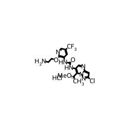 CO[C@@H](C)c1c(NC(=O)Nc2cc(C(F)(F)F)cnc2OCCN)cnc2cc(Cl)nn12.Cl